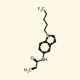 C=CC(=O)Nc1ccc2c(ccn2CCCCC(F)(F)F)c1